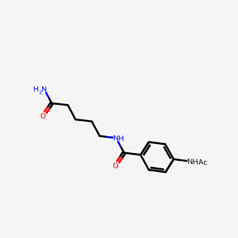 CC(=O)Nc1ccc(C(=O)NCCCCC(N)=O)cc1